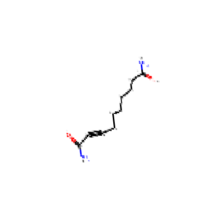 NC(=O)C#CCCCCCCC(N)=O